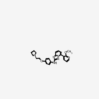 COc1ncccc1-c1cccc2nc(Nc3ccc(OCCN4CCCC4)cc3)nn12